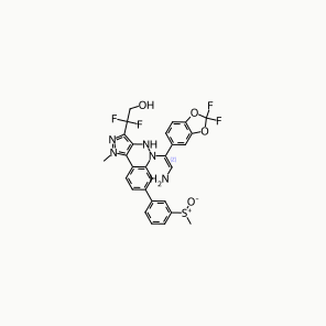 Cn1nc(C(F)(F)CO)c2c1-c1ccc(-c3cccc([S+](C)[O-])c3)cc1N(/C(=C\N)c1ccc3c(c1)OC(F)(F)O3)N2